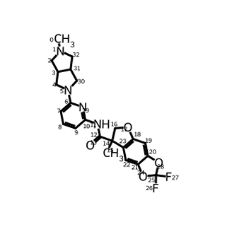 CN1CC2CN(c3cccc(NC(=O)C4(C)COc5cc6c(cc54)OC(F)(F)O6)n3)CC2C1